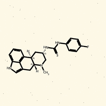 CN1C[C@@H](NC(=S)Nc2ccc(F)cc2)C[C@@H]2c3cccc4[nH]cc(c34)C[C@H]21